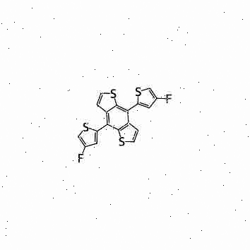 Fc1csc(-c2c3ccsc3c(-c3cc(F)cs3)c3ccsc23)c1